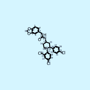 O=C(Cc1ccc2c(c1)OCO2)NC1CCN(c2ccc(Cl)cc2Cl)C(c2ccc(Cl)cc2)C1